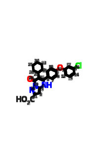 O=C(O)c1cc2[nH]c(-c3ccc(Oc4cccc(Cl)c4)cc3)c(C3CCCCC3)c(=O)n2n1